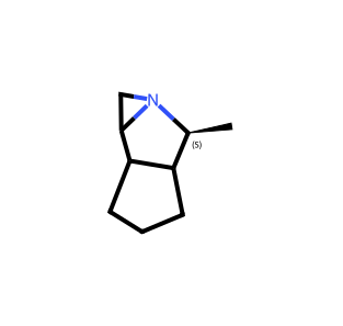 C[C@H]1C2CCCC2C2CN21